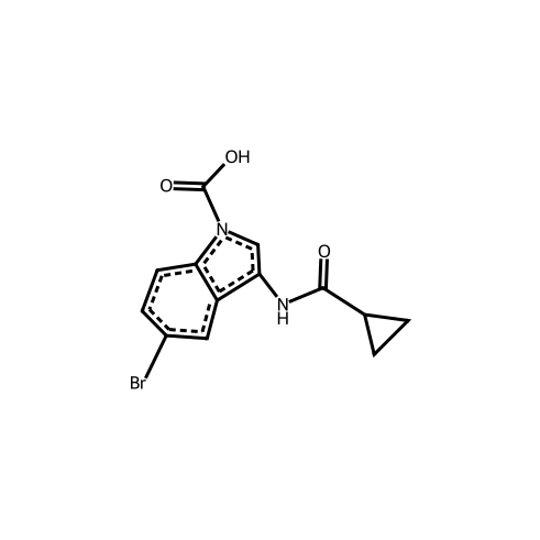 O=C(Nc1cn(C(=O)O)c2ccc(Br)cc12)C1CC1